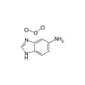 ClOCl.Nc1ccc2[nH]cnc2c1